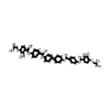 CCCCC(CC)COc1ccc(C(=O)Oc2ccc(C(=O)Oc3ccc(-c4ccc(OC(=O)c5ccc(OC(=O)c6ccc(OCC(CC)CCCC)cc6OC)cc5)cc4)cc3)cc2)c(C=O)c1